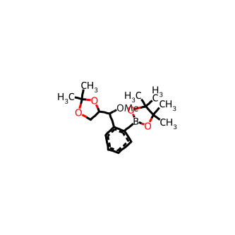 COC(c1ccccc1B1OC(C)(C)C(C)(C)O1)C1COC(C)(C)O1